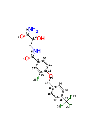 NC(=O)C(O)CNC(=O)c1ccc(OCc2ccc(C(F)(F)F)cc2)c(F)c1